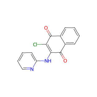 O=C1C(Cl)=C(Nc2ccccn2)C(=O)c2ccccc21